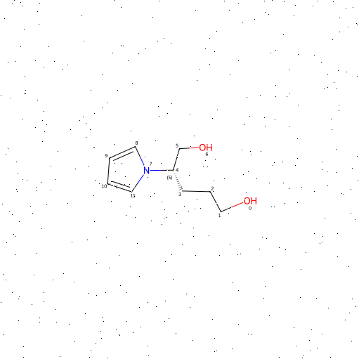 OCCC[C@@H](CO)n1cccc1